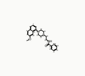 COc1ccc2cccc(N3CCN(CCNC(=O)c4ccccn4)CC3)c2c1